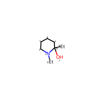 CCN1CCCCC1(O)CC